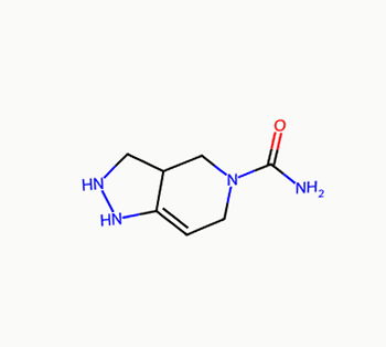 NC(=O)N1CC=C2NNCC2C1